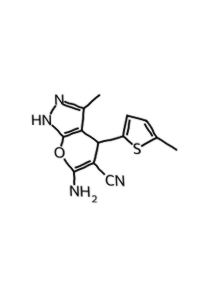 Cc1ccc(C2C(C#N)=C(N)Oc3[nH]nc(C)c32)s1